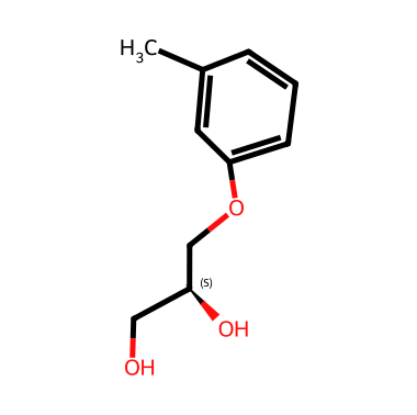 Cc1cccc(OC[C@@H](O)CO)c1